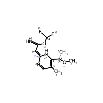 CO[C@@H](C)C1=C(C)C=N/C(=C/C(=N)OC(F)F)N1